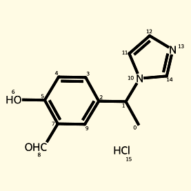 CC(c1ccc(O)c(C=O)c1)n1ccnc1.Cl